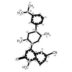 C[C@@H]1CN(c2cc(=O)n(C)c3ccc(C#N)nc23)[C@@H](C)CN1c1cccc(N(C)C)c1